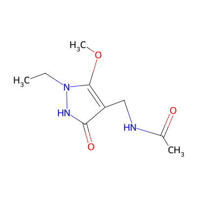 CCn1[nH]c(=O)c(CNC(C)=O)c1OC